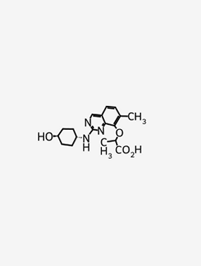 Cc1ccc2cnc(N[C@H]3CC[C@H](O)CC3)nc2c1OC(C)C(=O)O